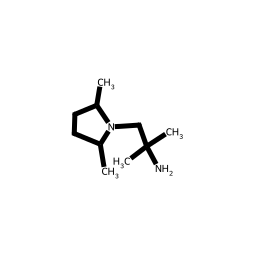 CC1CCC(C)N1CC(C)(C)N